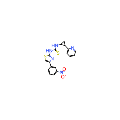 O=[N+]([O-])c1cccc(-c2csc(NC(=S)NC3CC3c3ccccn3)n2)c1